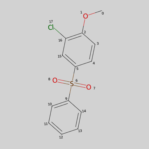 COc1ccc(S(=O)(=O)c2ccccc2)cc1Cl